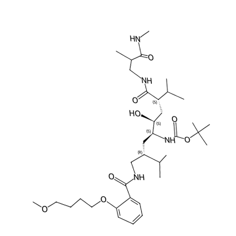 CNC(=O)C(C)CNC(=O)[C@@H](C[C@H](O)[C@H](C[C@@H](CNC(=O)c1ccccc1OCCCCOC)C(C)C)NC(=O)OC(C)(C)C)C(C)C